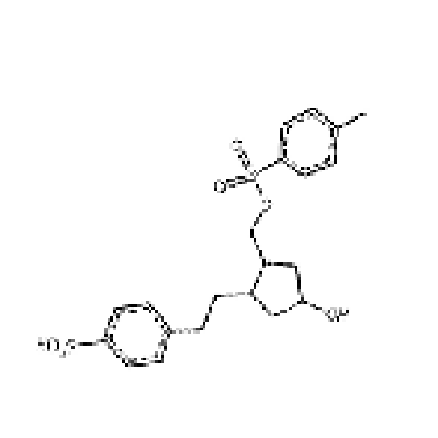 Cc1ccc(S(=O)(=O)OCC2CC(O)CC2CCc2ccc(S(=O)(=O)O)cc2)cc1